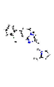 C[C@@H]1CCCN1CCc1cn2ccc(-c3ccccc3F)cc2n1